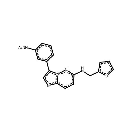 CC(=O)Nc1cccc(-c2cnc3ccc(NCc4ccco4)nn23)c1